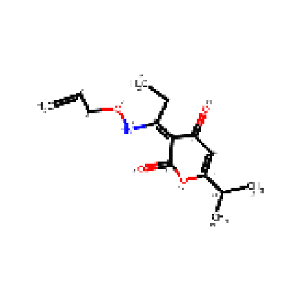 C=CCONC(CC)=C1C(=O)C=C(C(C)C)OC1=O